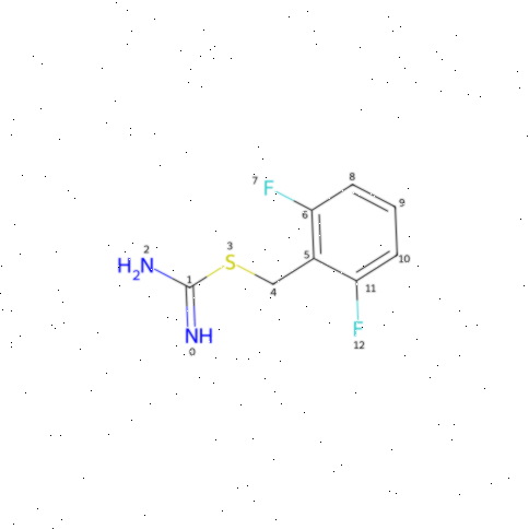 N=C(N)SCc1c(F)cccc1F